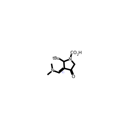 CN(C)/C=C1/C(=O)CN(C(=O)O)C1C(C)(C)C